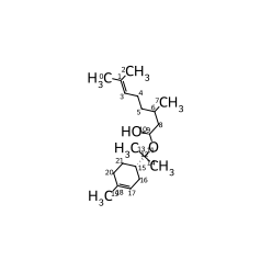 CC(C)=CCCC(C)C[C@H](O)OC(C)(C)[C@@H]1CC=C(C)CC1